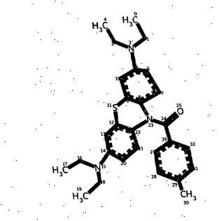 CCN(CC)c1ccc2c(c1)Sc1cc(N(CC)CC)ccc1N2C(=O)c1ccc(C)cc1